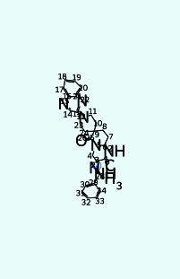 CC(=N)/C(CN1CCCC2(CCN(c3cnc4ccccc4n3)CC2)C1=O)=N\Nc1ccccc1